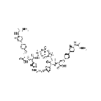 CC(CN)Nc1ccc(-c2ccc(OC[C@H](O/N=C(\C(=O)N[C@@H]3C(=O)N(OS(=O)(=O)ON4C(=O)[C@@H](NC(=O)/C(=N\O[C@@H](COc5ccc(-c6ccc(NC(C)CN)[n+](C)c6)cc5)C(=O)O)c5csc(N)n5)C4(C)C)C3(C)C)c3csc(N)n3)C(=O)O)cc2)c[n+]1C